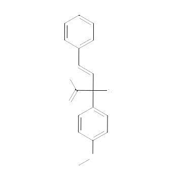 COc1ccc(C(N)(C=Cc2ccccc2)C(=O)O)cc1